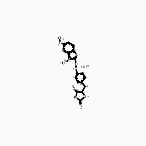 COc1ccc2nc(COc3ccc(CC4SC(=O)NC4=O)cc3)n(C)c2n1.Cl